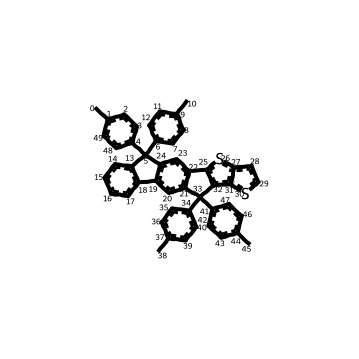 Cc1ccc(C2(c3ccc(C)cc3)c3ccccc3-c3cc4c(cc32)-c2sc3ccsc3c2C4(c2ccc(C)cc2)c2ccc(C)cc2)cc1